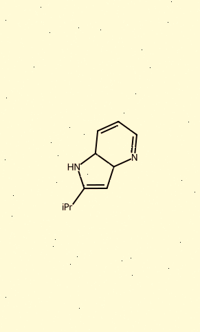 CC(C)C1=CC2N=CC=CC2N1